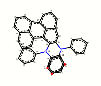 c1ccc(N(c2ccccc2)c2cc3cccc4c5cccc6cccc(c(c2N(c2ccccc2)c2ccccc2)c34)c65)cc1